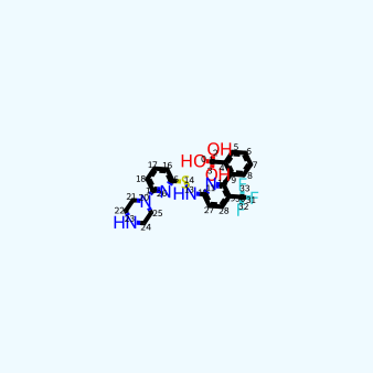 OC(O)(O)c1ccccc1-c1nc(NSc2cccc(N3CCNCC3)n2)ccc1C(F)(F)F